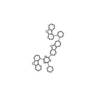 c1ccc(-c2nc(-c3ccc4c(c3)oc3cc(-c5ccccc5-c5cccc6oc7ccccc7c56)ccc34)nc(-c3cccc4oc5ccccc5c34)n2)cc1